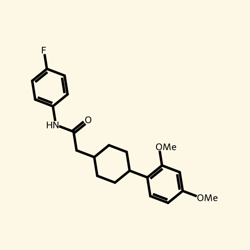 COc1ccc(C2CCC(CC(=O)Nc3ccc(F)cc3)CC2)c(OC)c1